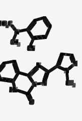 CN(C(=O)O)c1ccccc1C#N.Cn1nccc1-c1nc2c3ccccc3[nH]c(=O)n2n1